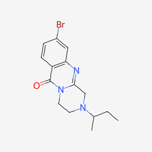 CCC(C)N1CCn2c(nc3cc(Br)ccc3c2=O)C1